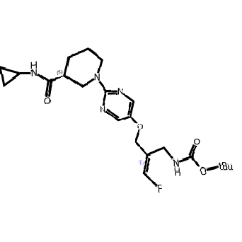 CC(C)(C)OC(=O)NC/C(=C\F)COc1cnc(N2CCC[C@H](C(=O)NC3CC3)C2)nc1